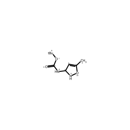 CC1=CC(NC(=O)OC(C)(C)C)NO1